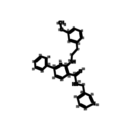 COc1cccc(CCNc2nc(-c3ccccc3)ccc2C(=O)NCc2cccnc2)c1